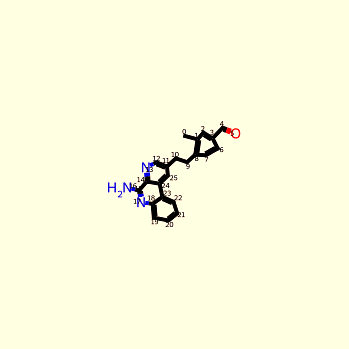 Cc1cc(C=O)ccc1CCc1cnc2c(N)nc3ccccc3c2c1